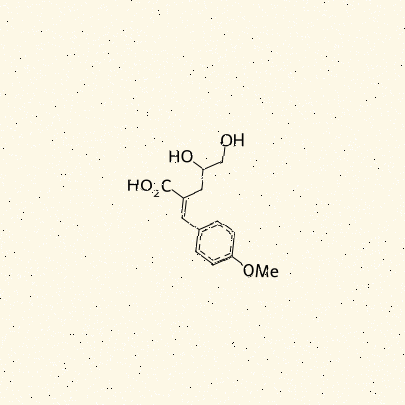 COc1ccc(C=C(CC(O)CO)C(=O)O)cc1